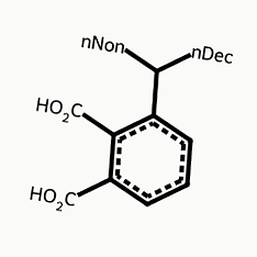 CCCCCCCCCCC(CCCCCCCCC)c1cccc(C(=O)O)c1C(=O)O